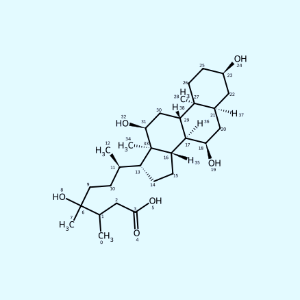 CC(CC(=O)O)C(C)(O)CC[C@@H](C)[C@H]1CC[C@H]2[C@@H]3[C@H](O)C[C@@H]4C[C@H](O)CC[C@]4(C)[C@H]3C[C@H](O)[C@]12C